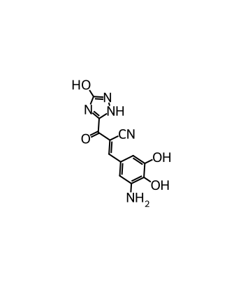 N#C/C(=C\c1cc(N)c(O)c(O)c1)C(=O)c1nc(O)n[nH]1